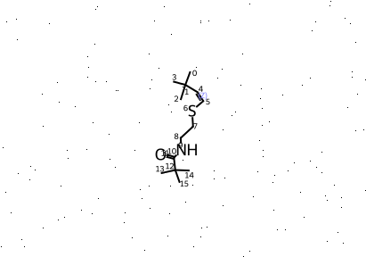 CC(C)(C)/C=C\SCCNC(=O)C(C)(C)C